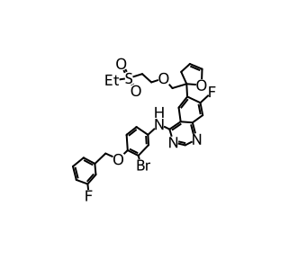 CCS(=O)(=O)CCOCC1(c2cc3c(Nc4ccc(OCc5cccc(F)c5)c(Br)c4)ncnc3cc2F)CC=CO1